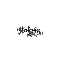 COc1c(N2C[C@@H](CNC3CC3)[C@@H](C)C2)c(F)cc2c(=O)c(C(=O)O)cn([C@@H]3C[C@@H]3F)c12